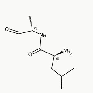 CC(C)C[C@H](N)C(=O)N[C@@H](C)C=O